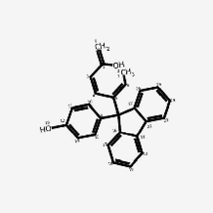 C=C(O)/C=C\C(=C/C)C1(c2ccc(O)cc2)c2ccccc2-c2ccccc21